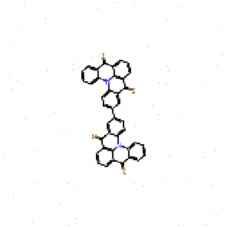 S=c1c2ccccc2n2c3ccc(-c4ccc5c(c4)c(=S)c4cccc6c(=S)c7ccccc7n5c64)cc3c(=S)c3cccc1c32